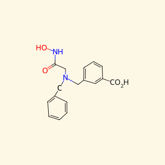 O=C(CN(Cc1ccccc1)Cc1cccc(C(=O)O)c1)NO